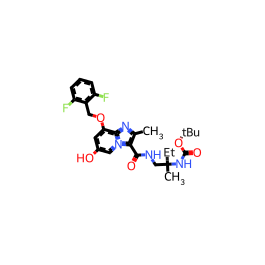 CCC(C)(CNC(=O)c1c(C)nc2c(OCc3c(F)cccc3F)cc(O)cn12)NC(=O)OC(C)(C)C